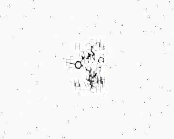 CC(COc1ccc(C(F)(F)F)cc1C(=O)N=c1sc(C(C)(C)C)cn1C[C@H]1CCCO1)N(O[Si](C)(C)C(C)(C)C)C(=O)O